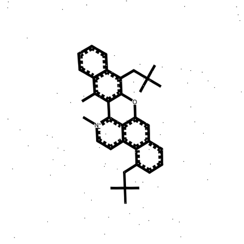 Cc1c2c(c(CC(C)(C)C)c3ccccc13)Oc1cc3cccc(CC(C)(C)C)c3c3cc[n+](C)c-2c13